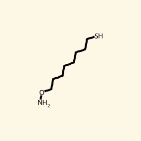 NOCCCCCCCCS